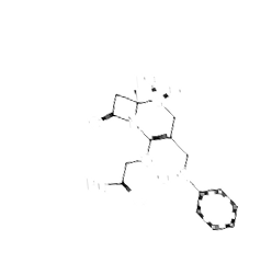 CC(C)(C)C(=O)COC1=C(C[S+]([O-])c2ccccc2)CS(=O)(=O)[C@H]2CC(=O)N12